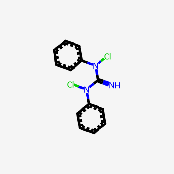 N=C(N(Cl)c1ccccc1)N(Cl)c1ccccc1